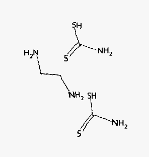 NC(=S)S.NC(=S)S.NCCN